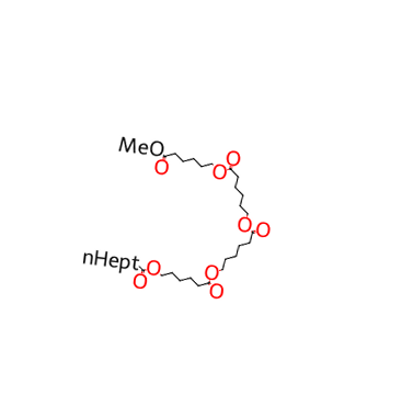 CCCCCCCC(=O)OCCCCCC(=O)OCCCCCC(=O)OCCCCCC(=O)OCCCCCC(=O)OC